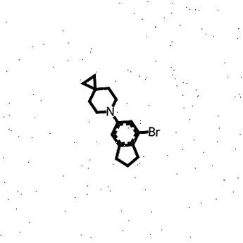 Brc1cc(N2CCC3(CC2)CC3)cc2c1CCC2